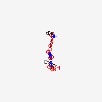 CCc1c2c(nc3ccc(OC(=O)N4CCN(C(=O)CCOCCOCCOCCOCCNC(=O)OC(C)(C)C)CC4)cc13)-c1cc3c(c(=O)n1C2)COC(=O)[C@]3(O)CC